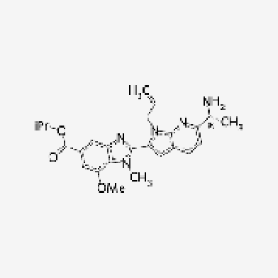 C=CCn1c(-c2nc3cc(C(=O)OC(C)C)cc(OC)c3n2C)cc2ccc([C@@H](C)N)nc21